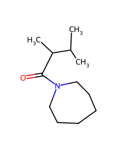 CC(C)C(C)C(=O)N1CCCCCC1